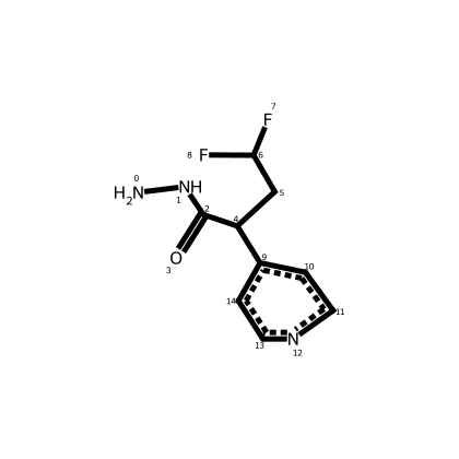 NNC(=O)C(CC(F)F)c1ccncc1